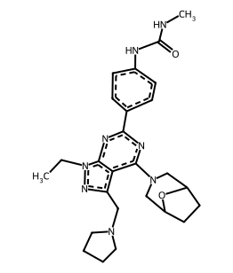 CCn1nc(CN2CCCC2)c2c(N3CC4CCC(C3)O4)nc(-c3ccc(NC(=O)NC)cc3)nc21